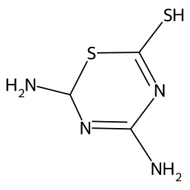 NC1=NC(N)SC(S)=N1